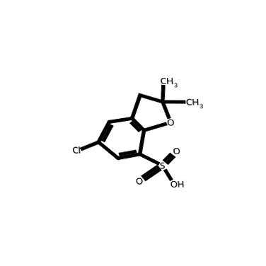 CC1(C)Cc2cc(Cl)cc(S(=O)(=O)O)c2O1